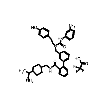 CC(N)C1CCC(CNC(=O)c2ccccc2-c2cccc(CN(CCc3ccc(O)cc3)C(=O)Nc3cccc(C(F)(F)F)c3)c2)CC1.O=C(O)C(F)(F)F